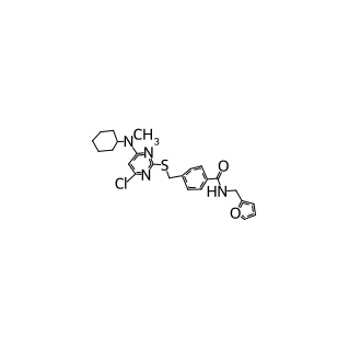 CN(c1cc(Cl)nc(SCc2ccc(C(=O)NCc3ccco3)cc2)n1)C1CCCCC1